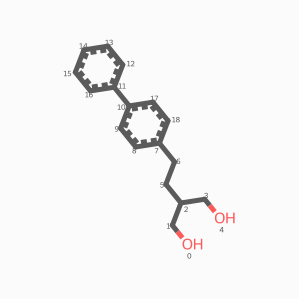 OCC(CO)CCc1ccc(-c2ccccc2)cc1